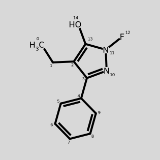 CCc1c(-c2ccccc2)nn(F)c1O